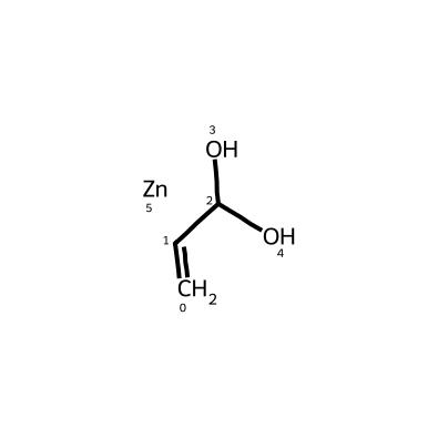 C=CC(O)O.[Zn]